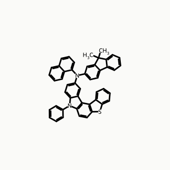 CC1(C)c2ccccc2-c2ccc(N(c3ccc4c(c3)c3c5c(ccc3n4-c3ccccc3)sc3ccccc35)c3cccc4ccccc34)cc21